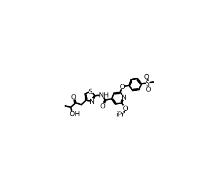 CC(C)Oc1cc(C(=O)Nc2nc(CC(=O)C(C)O)cs2)cc(Oc2ccc(S(C)(=O)=O)cc2)n1